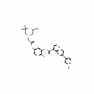 Cc1ncc(NC(=O)CN2CC(CO)OC(C)(C)C2)cc1NC(=O)c1cnn2cc(-c3cnn(C)c3)sc12